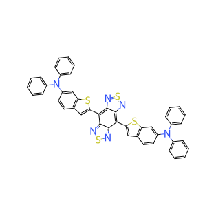 c1ccc(N(c2ccccc2)c2ccc3cc(-c4c5c(c(-c6cc7ccc(N(c8ccccc8)c8ccccc8)cc7s6)c6nsnc46)N=S=N5)sc3c2)cc1